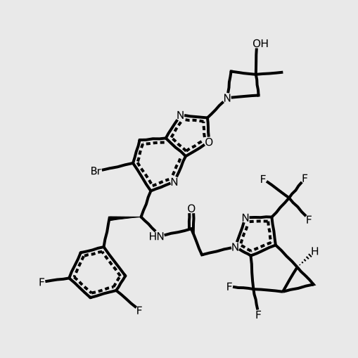 CC1(O)CN(c2nc3cc(Br)c([C@H](Cc4cc(F)cc(F)c4)NC(=O)Cn4nc(C(F)(F)F)c5c4C(F)(F)C4C[C@H]54)nc3o2)C1